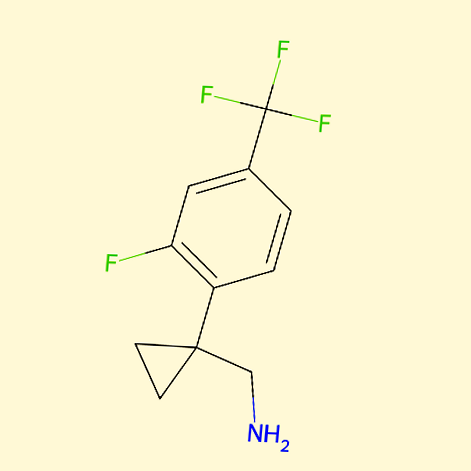 NCC1(c2ccc(C(F)(F)F)cc2F)CC1